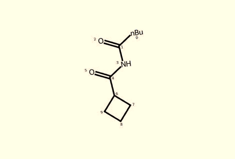 CCCCC(=O)NC(=O)C1CCC1